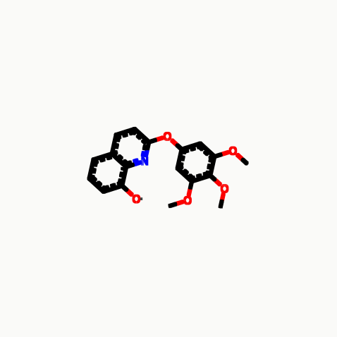 COc1cc(Oc2ccc3cccc([O])c3n2)cc(OC)c1OC